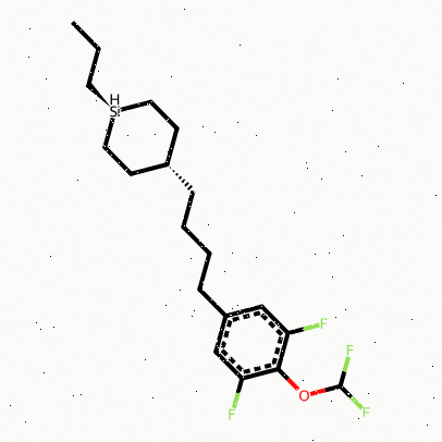 CCC[Si@H]1CC[C@H](CCCCc2cc(F)c(OC(F)F)c(F)c2)CC1